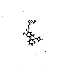 O=C(O)CCCOc1cc(F)c(-c2cccnc2SC2CCC2)cc1F